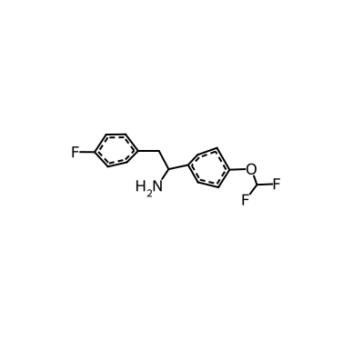 NC(Cc1ccc(F)cc1)c1ccc(OC(F)F)cc1